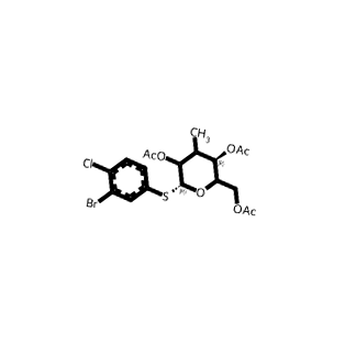 CC(=O)OCC1O[C@H](Sc2ccc(Cl)c(Br)c2)C(OC(C)=O)C(C)[C@H]1OC(C)=O